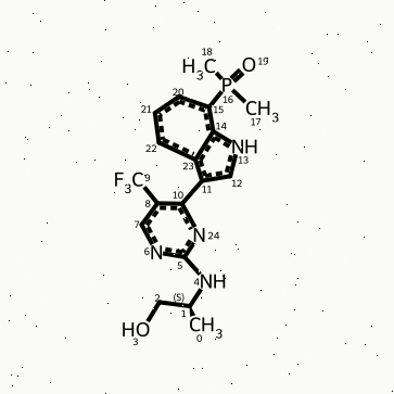 C[C@@H](CO)Nc1ncc(C(F)(F)F)c(-c2c[nH]c3c(P(C)(C)=O)cccc23)n1